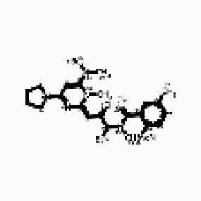 C=C(/C=C1/N=C(N2CCCC2)C=C(N(C)CCCC)N1C)C(CC)N(C)C(=C)c1cc(C)ccc1NC